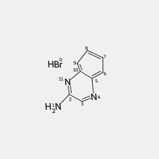 Br.Nc1cnc2ccccc2n1